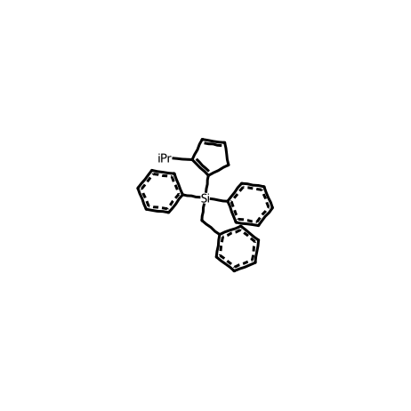 CC(C)C1=C([Si](Cc2ccccc2)(c2ccccc2)c2ccccc2)CC=C1